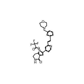 O=C1NCCc2c1cc(-c1ccnc(C=Cc3cccc(CN4CCOCC4)c3)c1)n2OC(=O)C(F)(F)F